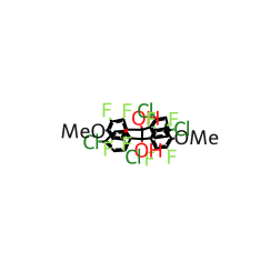 COc1c(F)c(F)c(C(O)(c2ccc(Cl)cc2Cl)C(O)(c2ccc(Cl)cc2Cl)c2c(F)c(F)c(OC)c(F)c2F)c(F)c1F